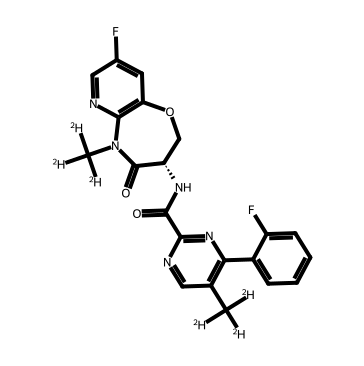 [2H]C([2H])([2H])c1cnc(C(=O)N[C@H]2COc3cc(F)cnc3N(C([2H])([2H])[2H])C2=O)nc1-c1ccccc1F